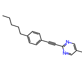 CCCCCc1ccc(C#Cc2ncc(CC)cn2)cc1